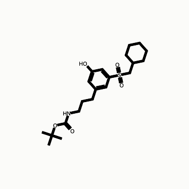 CC(C)(C)OC(=O)NCCCc1cc(O)cc(S(=O)(=O)CC2CCCCC2)c1